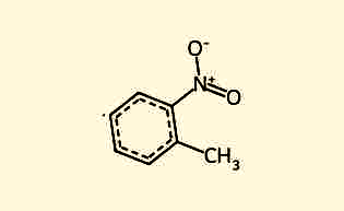 Cc1cc[c]cc1[N+](=O)[O-]